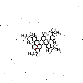 Cc1cc2c3c(c1)N(c1ccc(C(C)(C)C)cc1-c1ccccc1)c1cc4c(cc1B3c1ccc(C(C)(C)C)cc1N2c1cccc(C(C)(C)C)c1)CC(C)(C)C4